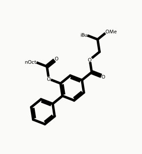 CCCCCCCCC(=O)Oc1cc(C(=O)OCC(OC)C(C)CC)ccc1-c1ccccc1